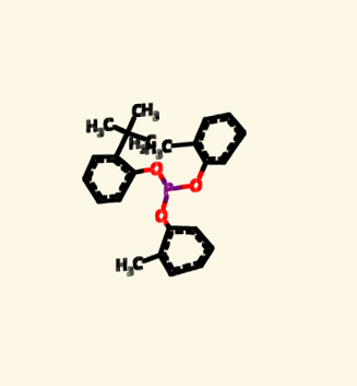 Cc1ccccc1OP(Oc1ccccc1C)Oc1ccccc1C(C)(C)C